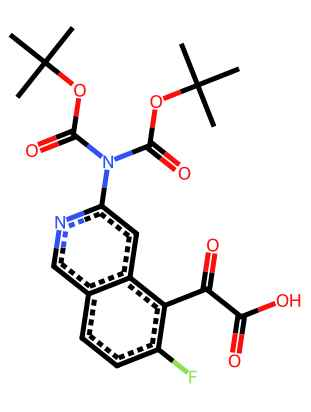 CC(C)(C)OC(=O)N(C(=O)OC(C)(C)C)c1cc2c(C(=O)C(=O)O)c(F)ccc2cn1